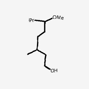 COC(CCC(C)CCO)C(C)C